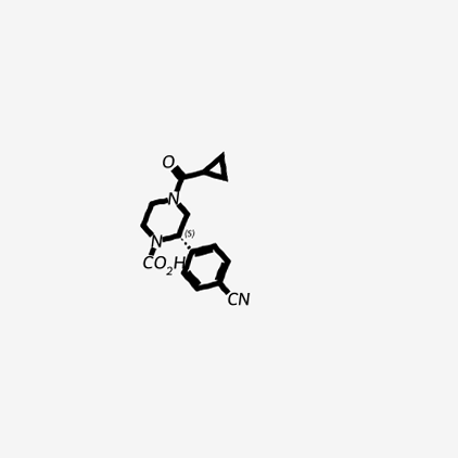 N#Cc1ccc([C@H]2CN(C(=O)C3CC3)CCN2C(=O)O)cc1